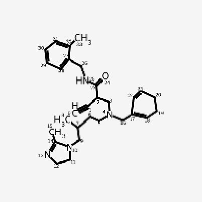 C#CC(CN(CCC(C)CN1CCN=C1C)CC1=CCCC=C1)C(=O)NCc1ccccc1C